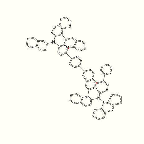 c1ccc(-c2ccc(N(c3ccc4ccccc4c3-c3ccc4ccc(-c5ccc(-c6ccc(N(c7ccc8ccccc8c7)c7ccc8ccccc8c7-c7ccc8ccccc8c7)cc6)cc5)cc4c3)c3c4ccccc4cc4ccccc34)cc2)cc1